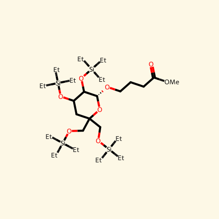 CC[Si](CC)(CC)OCC1(CO[Si](CC)(CC)CC)CC(O[Si](CC)(CC)CC)C(O[Si](CC)(CC)CC)[C@H](OCCCC(=O)OC)O1